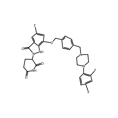 O=C1CCC(n2[nH]c3c(OCc4ccc(CN5CCN(c6ccc(F)cc6F)CC5)cc4)cc(F)cc3c2=O)C(=O)N1